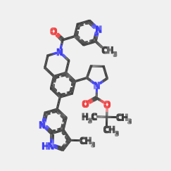 Cc1cc(C(=O)N2CCc3cc(-c4cnc5[nH]cc(C)c5c4)cc(C4CCCN4C(=O)OC(C)(C)C)c3C2)ccn1